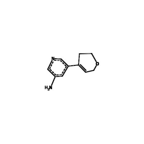 Nc1cncc(C2=CCOCC2)c1